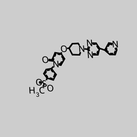 CS(=O)(=O)c1ccc(-n2ccc(OC3CCN(c4ncc(-c5cccnc5)cn4)CC3)cc2=O)cc1